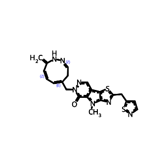 C=C1/C=C\C=C(\Cn2ncc3c4sc(Cc5ccns5)nc4n(C)c3c2=O)C/C=N\N1